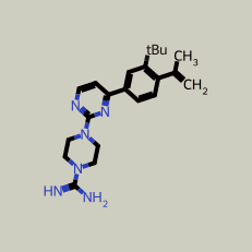 C=C(C)c1ccc(-c2ccnc(N3CCN(C(=N)N)CC3)n2)cc1C(C)(C)C